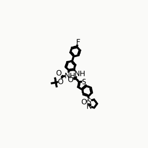 CC(C)(C)OC(=O)Nc1ccc(-c2ccc(F)cc2)cc1NC(=O)c1cc2cc(S3(=O)=NCCC3)ccc2s1